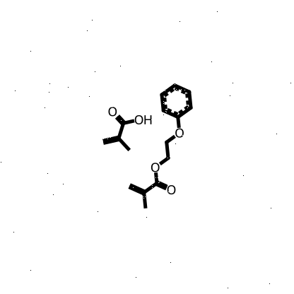 C=C(C)C(=O)O.C=C(C)C(=O)OCCOc1ccccc1